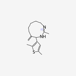 C=C1CCCCC/N=C(/C)NC1c1cc(C)sc1C